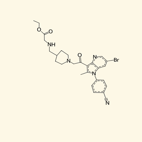 CCOC(=O)CNCC1CCN(CC(=O)c2c(C)n(-c3ccc(C#N)cc3)c3cc(Br)cnc23)CC1